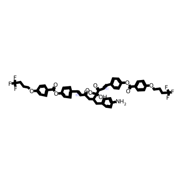 Nc1ccc(CC(CC(=O)/C=C/c2ccc(OC(=O)c3ccc(OCCCC(F)(F)F)cc3)cc2)C(O)(O)C(=O)/C=C/c2ccc(OC(=O)c3ccc(OCCCC(F)(F)F)cc3)cc2)cc1